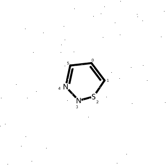 C1=CS[N]N=C1